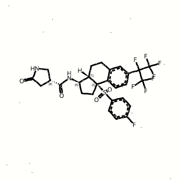 O=C1C[C@@H](C(=O)N[C@@H]2CC[C@@]3(S(=O)(=O)c4ccc(F)cc4)c4ccc(C(F)(C(F)(F)F)C(F)(F)F)cc4CC[C@@H]23)CN1